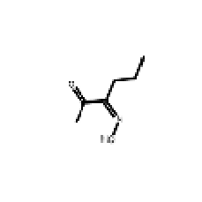 CCCC(=NO)C(C)=O